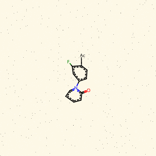 CC(=O)c1ccc(-n2ccccc2=O)cc1F